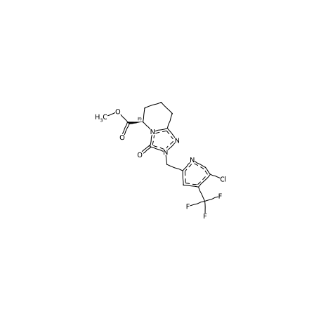 COC(=O)[C@H]1CCCc2nn(Cc3cc(C(F)(F)F)c(Cl)cn3)c(=O)n21